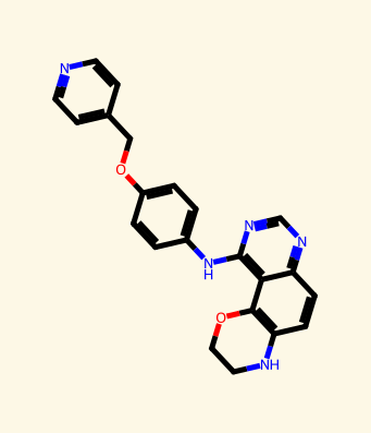 c1cc(COc2ccc(Nc3ncnc4ccc5c(c34)OCCN5)cc2)ccn1